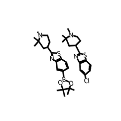 CN1CCC(c2nc3cc(B4OC(C)(C)C(C)(C)O4)ccc3s2)CC1(C)C.CN1CCC(c2nc3cc(Cl)ccc3s2)CC1(C)C